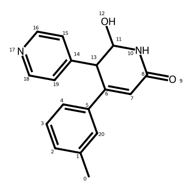 Cc1cccc(C2=CC(=O)NC(O)C2c2ccncc2)c1